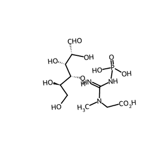 CN(CC(=O)O)C(=N)NP(=O)(O)O.O=C[C@H](O)[C@@H](O)[C@H](O)[C@H](O)CO